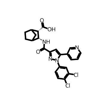 O=C(N[C@@H]1C2CCC(C2)[C@@H]1C(=O)O)c1cc(-c2cccnc2)n(-c2ccc(Cl)c(Cl)c2)n1